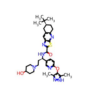 Cc1n[nH]c(C)c1Oc1ccc([C@@H](CCN2CCC(O)CC2)NC(=O)c2nc3cc4c(nc3s2)CC[C@H](C(C)(C)C)C4)cn1